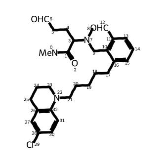 CNC(=O)C(CCC=O)N(C)Cc1c(C=O)cccc1CCCCCN1CCCc2cc(Cl)ccc21